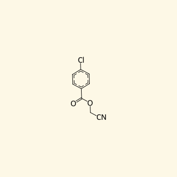 N#CCOC(=O)c1ccc(Cl)cc1